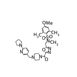 COc1cc(C)c(S(=O)(=O)N(C)Cc2nnc(C(=O)N3CCN(Cc4ccc(N5CCCC5)nc4)CC3)o2)c(C)c1